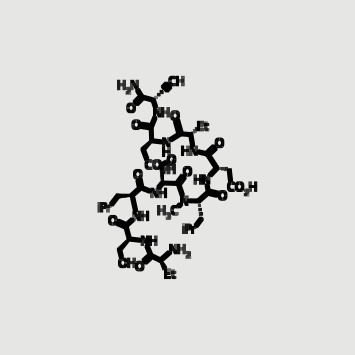 C#C[C@H](NC(=O)[C@H](CC(=O)O)NC(=O)[C@H](CC)NC(=O)[C@H](CC(=O)O)NC(=O)[C@H](CC(C)C)N(C)C(=O)[C@H](CO)NC(=O)[C@H](CC(C)C)NC(=O)[C@H](CO)NC(=O)[C@@H](N)CC)C(N)=O